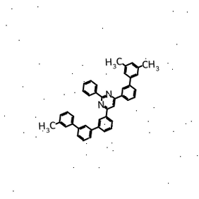 Cc1cccc(-c2cccc(-c3cccc(-c4cc(-c5cccc(-c6cc(C)cc(C)c6)c5)nc(-c5ccccc5)n4)c3)c2)c1